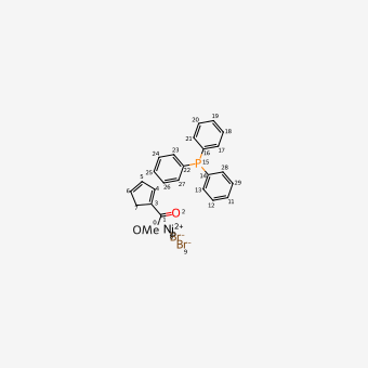 COC(=O)C1=CC=CC1.[Br-].[Br-].[Ni+2].c1ccc(P(c2ccccc2)c2ccccc2)cc1